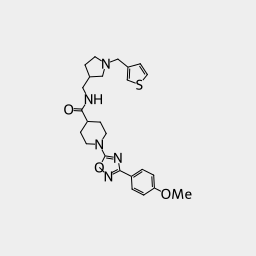 COc1ccc(-c2noc(N3CCC(C(=O)NCC4CCN(Cc5ccsc5)C4)CC3)n2)cc1